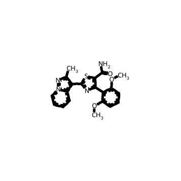 COc1cccc(OC)c1-c1nc(-c2c(C)nn3ccccc23)sc1C(N)=O